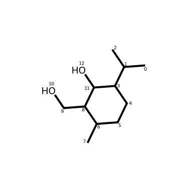 CC(C)C1CCC(C)C(CO)C1O